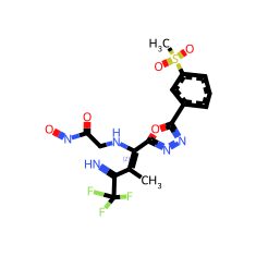 C/C(C(=N)C(F)(F)F)=C(/NCC(=O)N=O)c1nnc(-c2cccc(S(C)(=O)=O)c2)o1